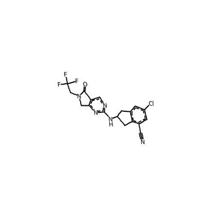 N#Cc1cc(Cl)cc2c1CC(Nc1ncc3c(n1)CN(CC(F)(F)F)C3=O)C2